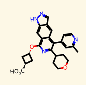 Cc1cc(-c2c(C3CCOCC3)nc(O[C@H]3C[C@H](C(=O)O)C3)c3cc4[nH]ncc4cc23)ccn1